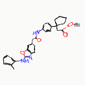 Cc1ccccc1Nc1nc2ccc(CC(=O)Nc3ccc(C4(CC(=O)OC(C)(C)C)CCCC4)cc3)cc2o1